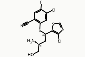 N#Cc1cc(F)c(Cl)cc1S[C@H](C[C@H](N)CO)c1scnc1Cl